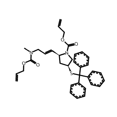 C=CCOC(=O)N(C)C/C=C/[C@@H]1C[C@H](SC(c2ccccc2)(c2ccccc2)c2ccccc2)CN1C(=O)OCC=C